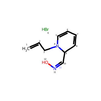 Br.C=CCN1C=CC=CC1/C=N\O